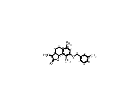 C=C1C(=O)OC2c3c(C)c(OCc4cccc(C)c4)cc(C)c3CCC12